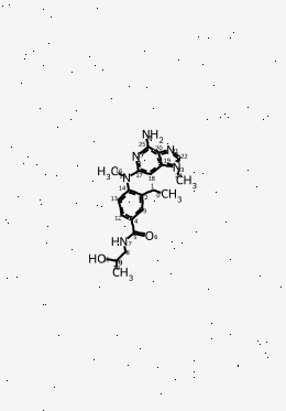 CCc1cc(C(=O)NC[C@@H](C)O)ccc1N(C)c1cc2c(ncn2C)c(N)n1